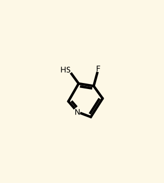 Fc1ccncc1S